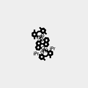 Cc1ccc(C)c2c1Cc1c(C)ccc(C)c1OP(Oc1ccc3ccccc3c1-c1c(OP3Oc4c(C(C)C)ccc(C)c4Cc4c(C)ccc(C(C)C)c4O3)ccc3ccccc13)O2